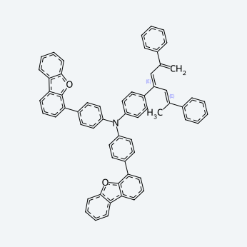 C=C(/C=C(\C=C(/C)c1ccccc1)c1ccc(N(c2ccc(-c3cccc4c3oc3ccccc34)cc2)c2ccc(-c3cccc4c3oc3ccccc34)cc2)cc1)c1ccccc1